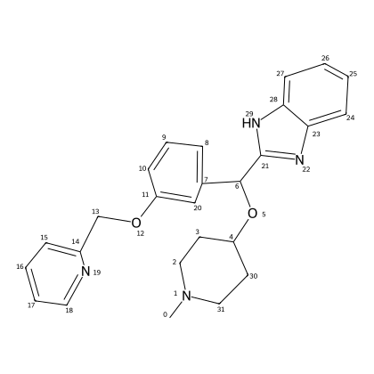 CN1CCC(OC(c2cccc(OCc3ccccn3)c2)c2nc3ccccc3[nH]2)CC1